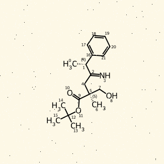 C[C@@H](C(=N)C[C@@](C)(CO)C(=O)OC(C)(C)C)c1ccccc1